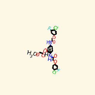 COCC(=O)O[C@H]1CC2(NC(=O)COc3ccc(Cl)c(F)c3)CCC1(NC(=O)COc1ccc(Cl)c(F)c1)CC2